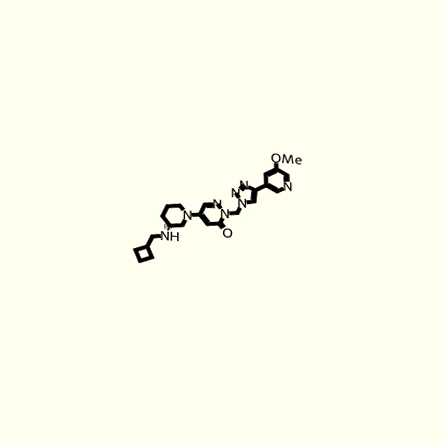 COc1cncc(-c2cn(Cn3ncc(N4CCC[C@@H](NCC5CCC5)C4)cc3=O)nn2)c1